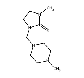 CN1CCN(CN2CCN(C)C2=S)CC1